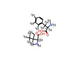 [2H]CC([2H])(C([2H])([2H])[2H])[C@@]([2H])(C(=O)O)N([2H])[2H].[2H]c1ccc(C([2H])([2H])[C@@]([2H])(C(=O)O)N([2H])[2H])c([2H])c1[2H]